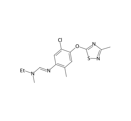 CCN(C)/C=N/c1cc(Cl)c(Oc2nc(C)ns2)cc1C